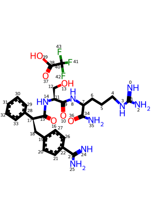 N=C(N)NCCCC(NC(=O)[C@H](CO)NC(=O)[C@@H](Cc1ccc(C(=N)N)cc1)c1ccccc1)C(N)=O.O=C(O)C(F)(F)F